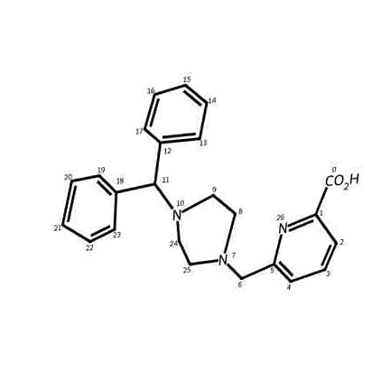 O=C(O)c1cccc(CN2CCN(C(c3ccccc3)c3ccccc3)CC2)n1